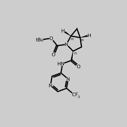 CC(C)(C)OC(=O)N1[C@@H]2C[C@@H]2C[C@H]1C(=O)Nc1cncc(C(F)(F)F)n1